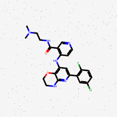 CN(C)CCNC(=O)c1cnccc1Nc1cc(-c2cc(Cl)ccc2F)nc2c1OCCN2